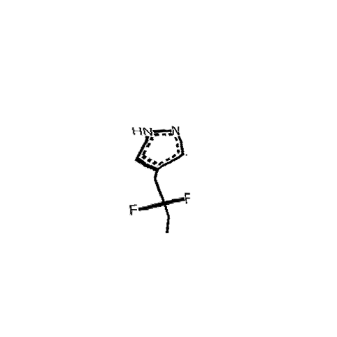 CC(F)(F)c1[c]n[nH]c1